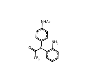 CC(=O)Nc1ccc(N(C(=O)C(F)(F)F)c2ccccc2N)cc1